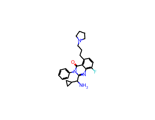 NC(c1nc2c(F)ccc(CCCN3CCCC3)c2c(=O)n1-c1ccccc1)C1CC1